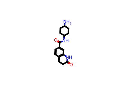 NC1CCC(NC(=O)c2ccc3c(c2)NC(=O)CC3)CC1